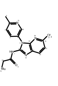 Cc1ccc(-n2c(NC(=O)CC(C)(C)C)nc3ccc(C(F)(F)F)nc32)cn1